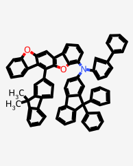 CC1(C)c2ccccc2-c2ccc(-c3c4oc5c(N(c6cccc(-c7ccccc7)c6)c6ccc7c(c6)C(c6ccccc6)(c6ccccc6)c6ccccc6-7)cccc5c4cc4oc5ccccc5c34)cc21